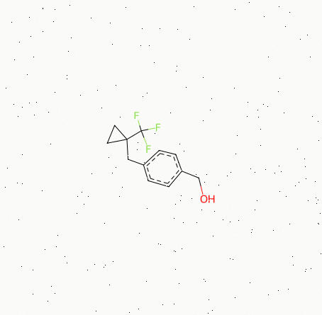 OCc1ccc(CC2(C(F)(F)F)CC2)cc1